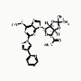 CCCNc1nc(-n2cc(-c3ccccn3)cn2)nc2c1ncn2[C@@H]1O[C@H](C(=O)NC)[C@H]2OC(C)(C)O[C@H]21